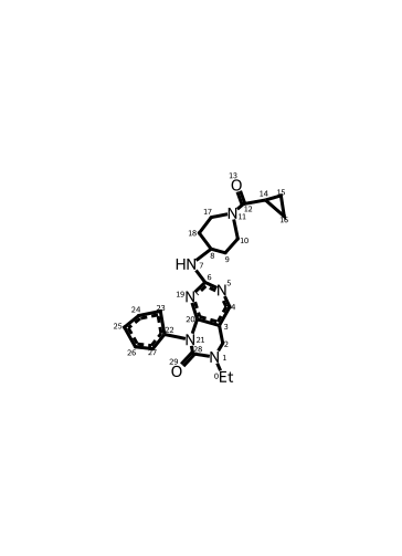 CCN1Cc2cnc(NC3CCN(C(=O)C4CC4)CC3)nc2N(c2ccccc2)C1=O